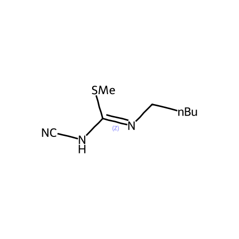 CCCCC/N=C(/NC#N)SC